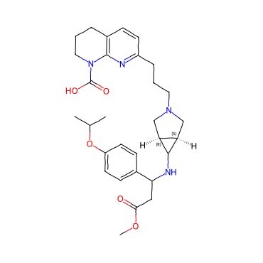 COC(=O)CC(NC1[C@H]2CN(CCCc3ccc4c(n3)N(C(=O)O)CCC4)C[C@@H]12)c1ccc(OC(C)C)cc1